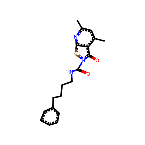 Cc1cc(C)c2c(=O)n(C(=O)NCCCCc3ccccc3)sc2n1